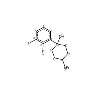 CCCC1CCC(O)(c2cccc(F)c2F)CC1